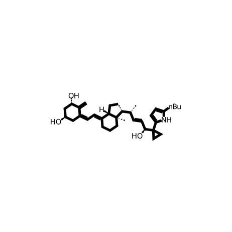 C=C1/C(=C\C=C2/CCC[C@]3(C)[C@@H]([C@H](C)/C=C/[C@H](O)C4(c5ccc(CCCC)[nH]5)CC4)CC[C@@H]23)C[C@@H](O)C[C@@H]1O